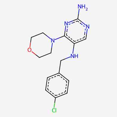 Nc1ncc(NCc2ccc(Cl)cc2)c(N2CCOCC2)n1